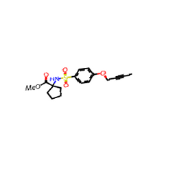 CC#CCOc1ccc(S(=O)(=O)NC2(C(=O)OC)CCCC2)cc1